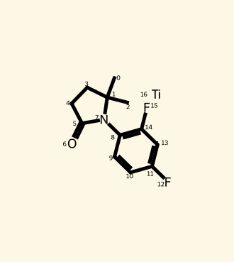 CC1(C)CCC(=O)N1c1ccc(F)[c]c1F.[Ti]